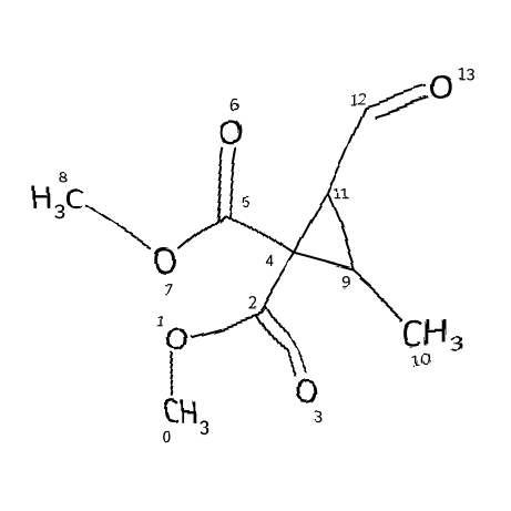 COC(=O)C1(C(=O)OC)C(C)C1C=O